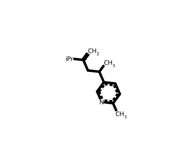 C=C(CC(C)c1ccc(C)nc1)C(C)C